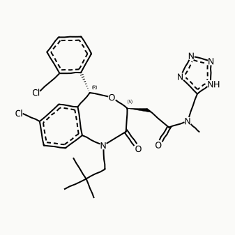 CN(C(=O)C[C@@H]1O[C@@H](c2ccccc2Cl)c2cc(Cl)ccc2N(CC(C)(C)C)C1=O)c1nnn[nH]1